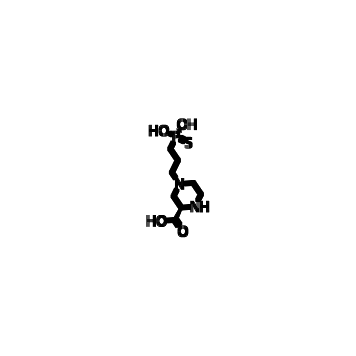 O=C(O)[C@H]1CN(CCCP(O)(O)=S)CCN1